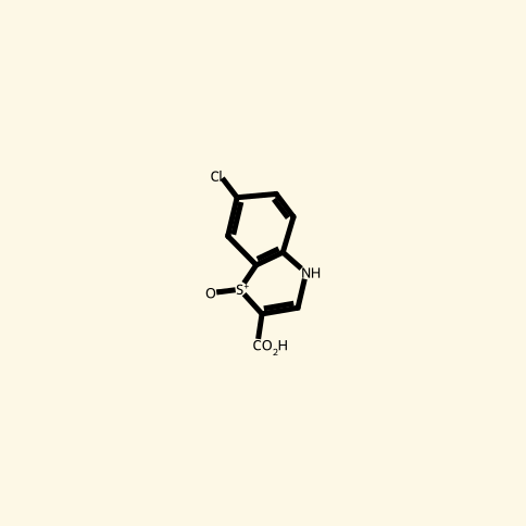 O=C(O)C1=CNc2ccc(Cl)cc2[S+]1[O-]